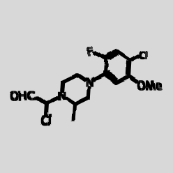 COc1cc(N2CCN(C(Cl)C=O)C(C)C2)c(F)cc1Cl